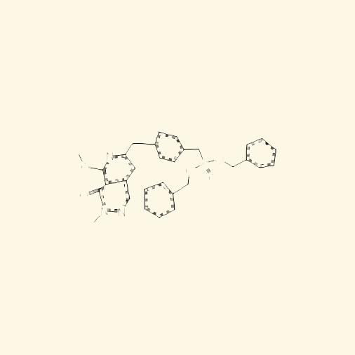 COc1nc(Cc2ccc(CP(=O)(OCc3ccccc3)OCc3ccccc3)cc2)cc2cnn(C)c(=O)c12